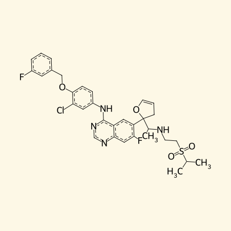 CC(NCCS(=O)(=O)C(C)C)C1(c2cc3c(Nc4ccc(OCc5cccc(F)c5)c(Cl)c4)ncnc3cc2F)CC=CO1